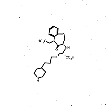 O=C(O)CN1C(=O)[C@@H](N[C@@H](COCCCC2CCNCC2)C(=O)O)CSc2ccccc21